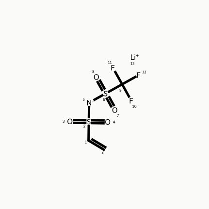 C=CS(=O)(=O)[N-]S(=O)(=O)C(F)(F)F.[Li+]